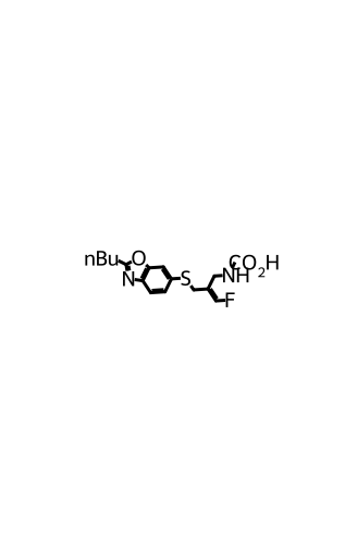 CCCCc1nc2ccc(SCC(=CF)CNC(=O)O)cc2o1